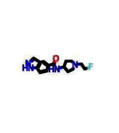 O=C(NC1CCN(CCF)CC1)c1ccc2[nH]ncc2c1